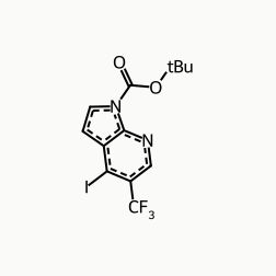 CC(C)(C)OC(=O)n1ccc2c(I)c(C(F)(F)F)cnc21